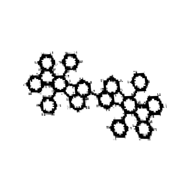 c1ccc(-c2c3c(c(-c4ccccc4)c4c5ccccc5c5ccccc5c24)-c2ccc(-c4ccc5c6c(cccc46)-c4c-5c(-c5ccccc5)c5c6ccccc6c6ccccc6c5c4-c4ccccc4)c4cccc-3c24)cc1